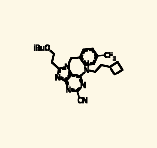 CC(C)COCCc1nc2nc(C#N)nc(NCCC3CCC3)c2n1Cc1ccc(C(F)(F)F)cc1